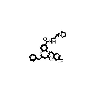 O=C(NCCCN1CCCC1)c1ccc2c(c1)N(CC1C=CC(F)=CC1)C(=O)C=C(Cc1ccccc1)S2